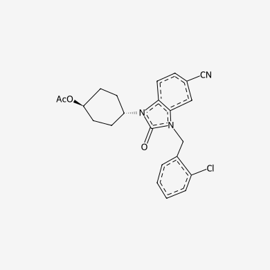 CC(=O)O[C@H]1CC[C@H](n2c(=O)n(Cc3ccccc3Cl)c3cc(C#N)ccc32)CC1